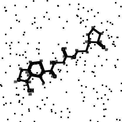 Cc1c(C(=O)NCC(=O)OCCN2CCCC2=O)ccc2c1B(O)OC2